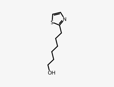 OCCCCCCc1nccs1